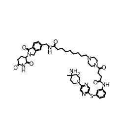 CC1(N)CCN(c2cnc(Sc3cccc(NC(=O)CCC(=O)N4CCN(CCCCCCCCC(=O)NCc5ccc6c(c5)CN(C5CCC(=O)NC5=O)C6=O)CC4)c3)cn2)CC1